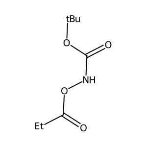 CCC(=O)ONC(=O)OC(C)(C)C